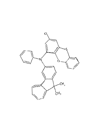 CC1(C)c2ccccc2-c2cc(N(c3ccccc3)c3cc(Cl)cc4c3Oc3ccccc3S4)ccc21